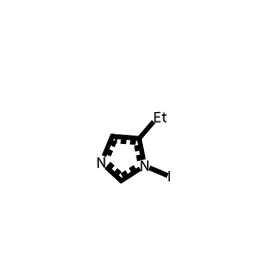 CCc1cncn1I